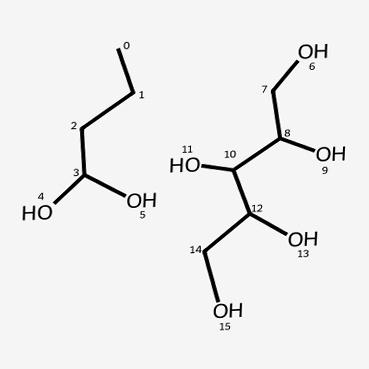 CCCC(O)O.OCC(O)C(O)C(O)CO